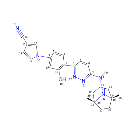 CN(c1ccc(-c2ccc(-n3ccc(C#N)c3)cc2O)nn1)C1C[C@]2(C)CC[C@](C)(C1)N2